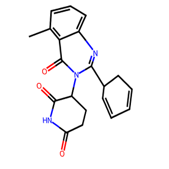 Cc1cccc2nc(C3C=CC=CC3)n(C3CCC(=O)NC3=O)c(=O)c12